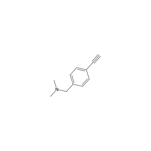 C#Cc1ccc(CN(C)C)cc1